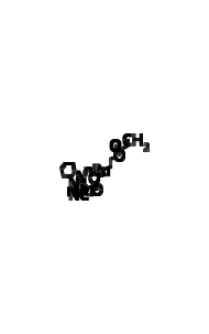 C=CC(=O)OCCCCOC(=O)C(C#N)=C1N(CCCC)c2ccccc2N1CCCC